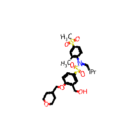 Cc1cc(S(C)(=O)=O)ccc1N(CC(C)C)S(=O)(=O)c1ccc(OCC2CCOCC2)c(CO)c1